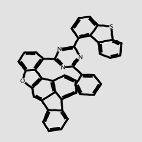 c1ccc(-c2nc(-c3cccc4sc5ccccc5c34)nc(-c3cccc4oc5cc6c7c(cccc7c5c34)-c3ccccc3-6)n2)cc1